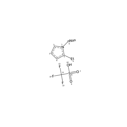 CCCCCCCCCn1cccc1CC.O=S(=O)(O)C(F)(F)F